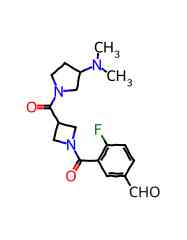 CN(C)C1CCN(C(=O)C2CN(C(=O)c3cc(C=O)ccc3F)C2)C1